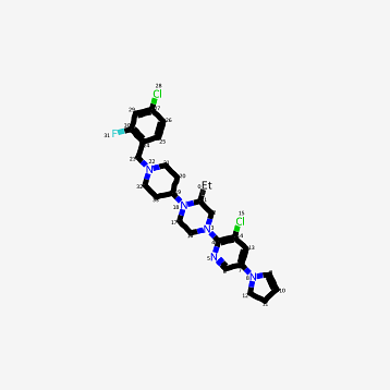 CCC1CN(c2ncc(N3C=CCC3)cc2Cl)CCN1C1CCN(Cc2ccc(Cl)cc2F)CC1